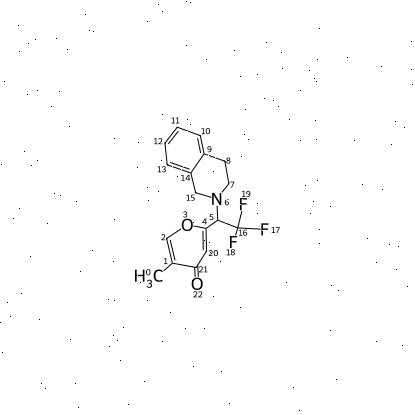 Cc1coc(C(N2CCc3ccccc3C2)C(F)(F)F)cc1=O